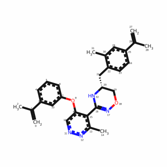 C=C(C)c1cccc(Oc2cnnc(C)c2C2=NOC[C@@H](Cc3ccc(C(=C)C)cc3C)N2)c1